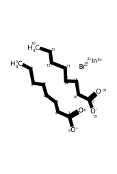 CCCCCCCC(=O)[O-].CCCCCCCC(=O)[O-].[Br-].[In+3]